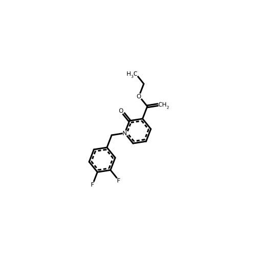 C=C(OCC)c1cccn(Cc2ccc(F)c(F)c2)c1=O